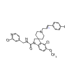 O=C(NCc1ccnc(Cl)c1)N1CC2(CCN(C/C=C/c3ccc(Cl)cc3)CC2)c2c1ccc(OC(F)(F)F)c2Cl